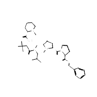 CC(C)[C@@H](CN1CCC[C@H]1C(=O)N1CCCC1C(=O)OCc1ccccc1)N(C)C(=O)[C@@H](NC(=O)[C@H]1CCCCN1C)C(C)(C)C